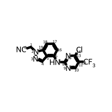 N#CCn1ncc2c(Nc3ncc(C(F)(F)F)c(Cl)n3)cccc21